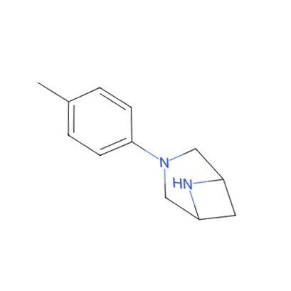 Cc1ccc(N2CC3CC(C2)N3)cc1